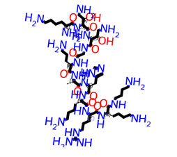 C[C@H](NC(=O)[C@@H](CCCN)NC(=O)CNC(=O)[C@@H](NC(=O)[C@@H](NC(=O)[C@@H](N)CCCCN)[C@@H](O)CN)[C@@H](O)CN)C(=O)N[C@@H](Cc1cnc[nH]1)C(=O)N[C@@H](CCCCN)C(=O)N/C(=C\CCNC(=N)N)C(=O)N[C@@H](CCCCN)C(=O)NCCCCN